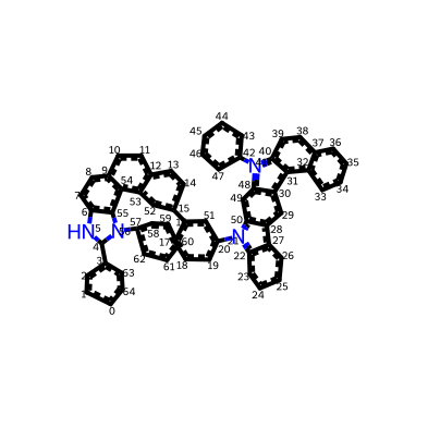 c1ccc(C2Nc3ccc4ccc5ccc(-c6cccc(-n7c8ccccc8c8cc9c%10c%11ccccc%11ccc%10n(-c%10ccccc%10)c9cc87)c6)cc5c4c3N2c2ccccc2)cc1